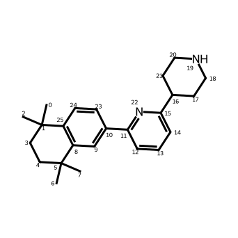 CC1(C)CCC(C)(C)c2cc(-c3cccc(C4CCNCC4)n3)ccc21